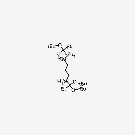 CCC(OC(C)(C)C)(OC(C)(C)C)[SiH2]CCCC[SiH2]C(CC)(OC(C)(C)C)OC(C)(C)C